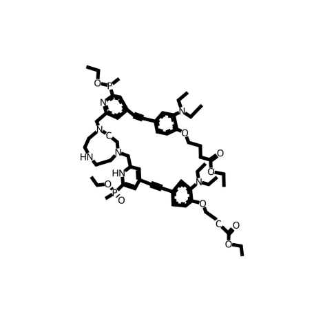 CCOC(=O)CCCOc1ccc(C#CC2=CC(CN3CCNCCN(Cc4cc(C#Cc5ccc(OCCCC(=O)OCC)c(N(CC)CC)c5)cc(P(C)OCC)n4)CC3)NC(P(C)(=O)OCC)=C2)cc1N(CC)CC